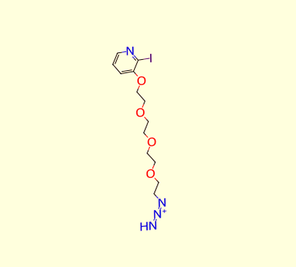 N=[N+]=NCCOCCOCCOCCOc1cccnc1I